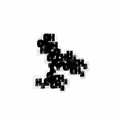 CC(C)(C)OCCC(C)(CCOC(C)(C)C)OC(=O)NNC(=O)O